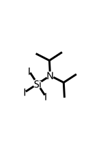 CC(C)N(C(C)C)[Si](I)(I)I